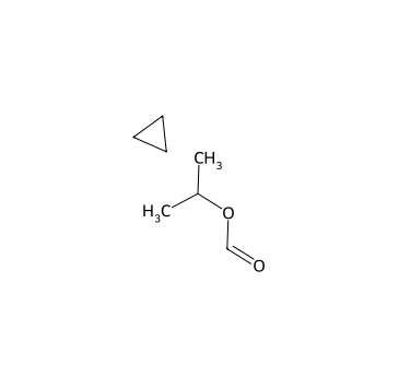 C1CC1.CC(C)OC=O